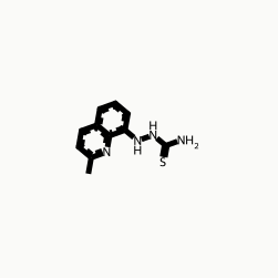 Cc1ccc2cccc(NNC(N)=S)c2n1